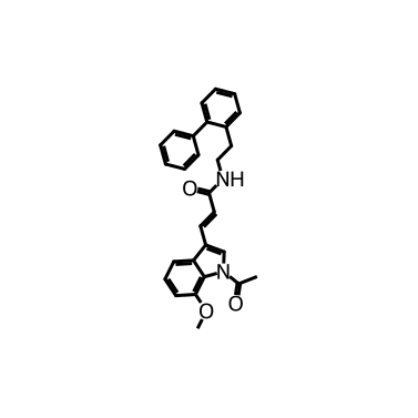 COc1cccc2c(/C=C/C(=O)NCCc3ccccc3-c3ccccc3)cn(C(C)=O)c12